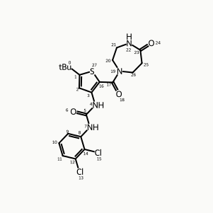 CC(C)(C)c1cc(NC(=O)Nc2cccc(Cl)c2Cl)c(C(=O)N2CCNC(=O)CC2)s1